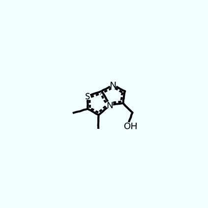 Cc1sc2ncc(CO)n2c1C